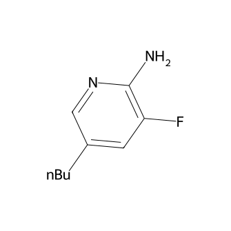 CCCCc1cnc(N)c(F)c1